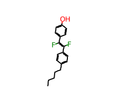 CCCCCc1ccc(/C(F)=C(\F)c2ccc(O)cc2)cc1